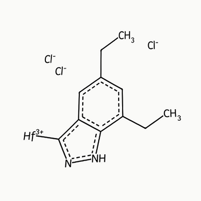 CCc1cc(CC)c2[nH]n[c]([Hf+3])c2c1.[Cl-].[Cl-].[Cl-]